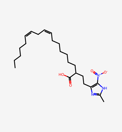 CCCCC/C=C\C/C=C\CCCCCCC(CCc1nc(C)[nH]c1[N+](=O)[O-])C(=O)O